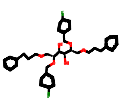 O[C@@H]([C@H](O)[C@@H](COCCCc1ccccc1)OCc1ccc(F)cc1)[C@@H](COCCCc1ccccc1)OCc1ccc(F)cc1